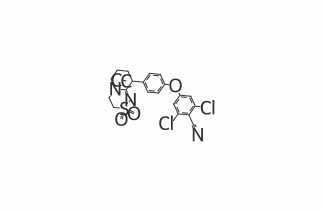 N#Cc1c(Cl)cc(Oc2ccc(C34CCC(CC3)N3CCS(=O)(=O)N=C34)cc2)cc1Cl